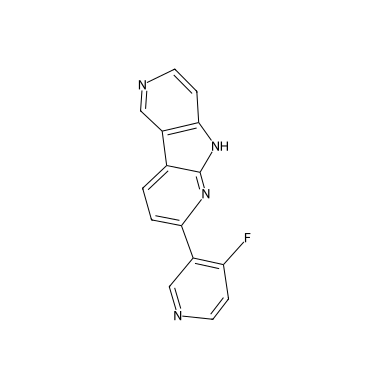 Fc1ccncc1-c1ccc2c(n1)[nH]c1ccncc12